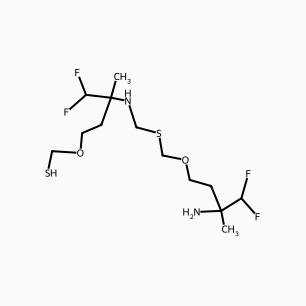 CC(N)(CCOCSCNC(C)(CCOCS)C(F)F)C(F)F